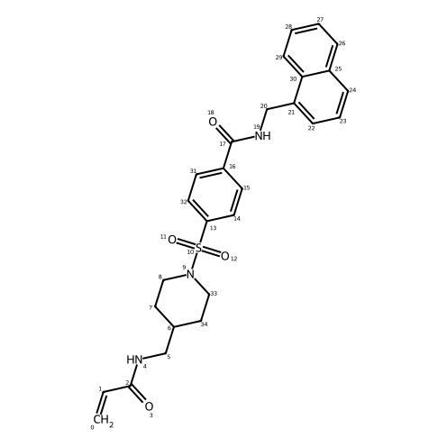 C=CC(=O)NCC1CCN(S(=O)(=O)c2ccc(C(=O)NCc3cccc4ccccc34)cc2)CC1